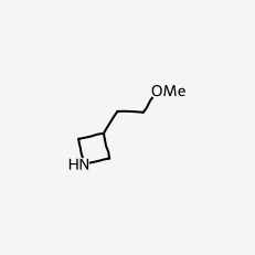 COCCC1CNC1